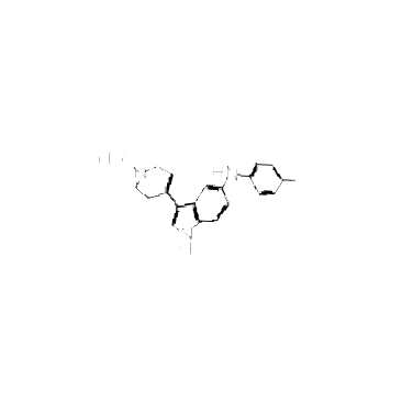 CN1CC=C(c2c[nH]c3ccc(Nc4ccc(F)cc4)cc23)CC1